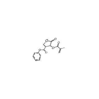 C=C(C)C(=O)OC1C(=O)OCC1C(=O)Oc1ccccc1